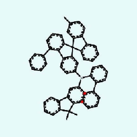 Cc1ccc2c(c1)C1(c3ccccc3-2)c2cc(N(c3ccc4c(c3)-c3ccccc3C4(C)C)c3ccccc3-c3ccccc3)ccc2-c2c(-c3ccccc3)cccc21